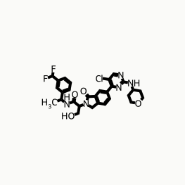 CC(NC(=O)C(CO)N1Cc2ccc(-c3nc(NC4CCOCC4)ncc3Cl)cc2C1=O)c1cccc(C(F)F)c1